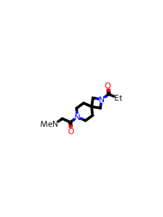 CCC(=O)N1CC2(CCN(C(=O)CNC)CC2)C1